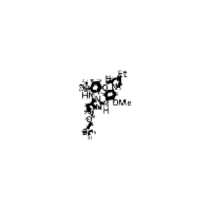 CCN1CCN2c3cc(OC)c(Nc4nc(Nc5ccccc5P(C)(C)=O)c5ccn(COCC[Si](C)(C)C)c5n4)cc3OC[C@H]2C1